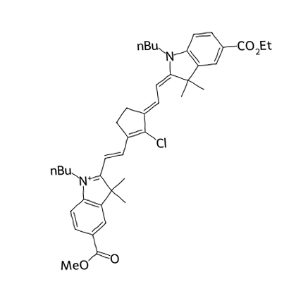 CCCCN1/C(=C/C=C2\CCC(/C=C/C3=[N+](CCCC)c4ccc(C(=O)OC)cc4C3(C)C)=C2Cl)C(C)(C)c2cc(C(=O)OCC)ccc21